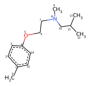 [CH2]c1ccc(OCCN(C)CC(C)C)cc1